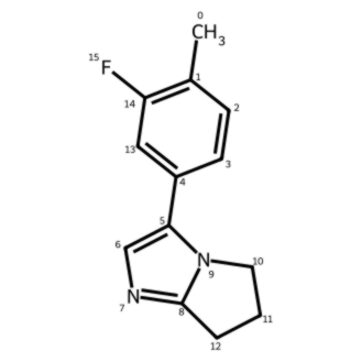 Cc1ccc(-c2cnc3n2CCC3)cc1F